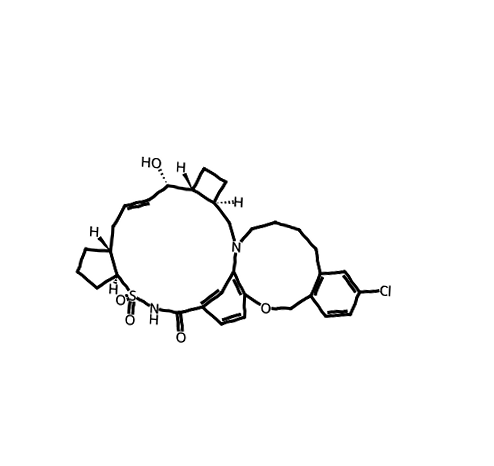 O=C1NS(=O)(=O)[C@H]2CCC[C@@H]2C/C=C/[C@H](O)[C@@H]2CC[C@H]2CN2CCCCc3cc(Cl)ccc3COc3ccc1cc32